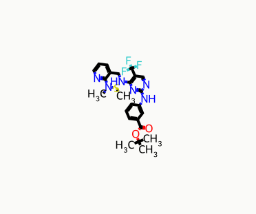 CSN(C)c1ncccc1CNc1nc(Nc2cccc(C(=O)OC(C)(C)C)c2)ncc1C(F)(F)F